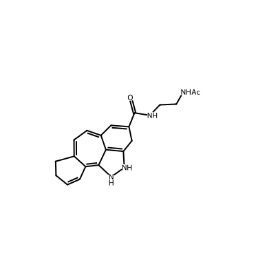 CC(=O)NCCNC(=O)C1=CC2=CC=C3CCC=CC3=C3NNC(=C23)C1